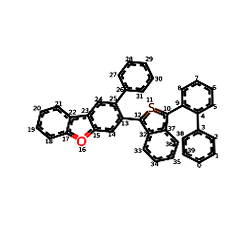 c1ccc(-c2ccccc2-c2sc(-c3cc4oc5ccccc5c4cc3-c3ccccc3)c3ccccc23)cc1